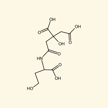 O=C(O)CC(O)(CC(=O)NC(CCO)C(=O)O)C(=O)O